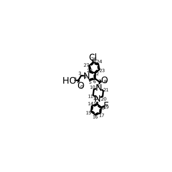 O=C(O)Cn1cc(C(=O)N2CCN(c3ccccc3F)CC2)c2ccc(Cl)cc21